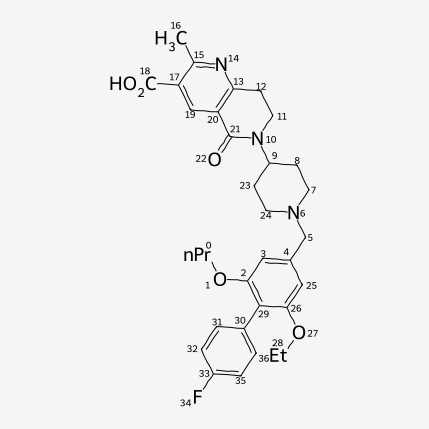 CCCOc1cc(CN2CCC(N3CCc4nc(C)c(C(=O)O)cc4C3=O)CC2)cc(OCC)c1-c1ccc(F)cc1